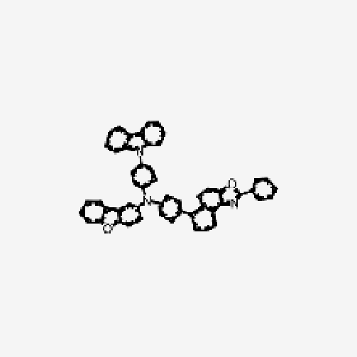 c1ccc(-c2nc3c(ccc4c(-c5ccc(N(c6ccc(-n7c8ccccc8c8ccccc87)cc6)c6ccc7oc8ccccc8c7c6)cc5)cccc43)o2)cc1